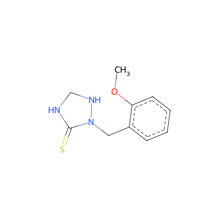 COc1ccccc1CN1NCNC1=S